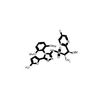 COc1cccc(OC)c1-n1c(NS(=O)(=O)[C@@H](C)[C@H](OC)c2ncc(F)cn2)nnc1-c1ccc(C)o1